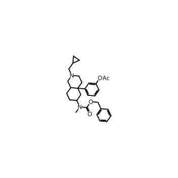 CC(=O)Oc1cccc(C23CCN(CC4CC4)CC2CCC(N(C)C(=O)OCc2ccccc2)C3)c1